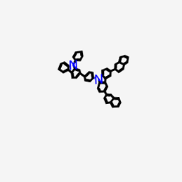 c1ccc(-n2c3ccccc3c3ccc(-c4ccc(-n5c6ccc(-c7ccc8ccccc8c7)cc6c6cc(-c7ccc8ccccc8c7)ccc65)cc4)cc32)cc1